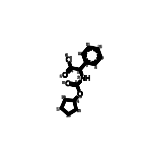 O=C(NC(C(=O)Cl)c1ccccc1)OC1CCCC1